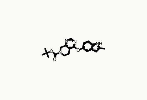 Cc1cc2cc(Oc3ncnc4c3CCN(C(=O)OC(C)(C)C)C4)ccc2[nH]1